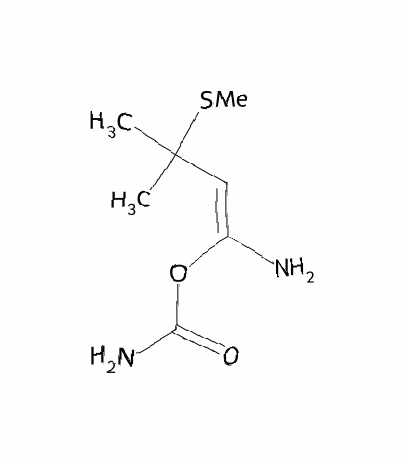 CSC(C)(C)C=C(N)OC(N)=O